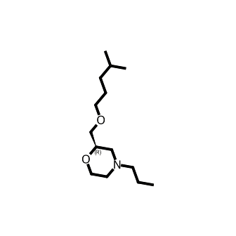 CCCN1CCO[C@@H](COCCCC(C)C)C1